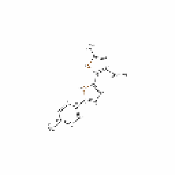 CCCCCCc1cc(C)sc1-c1ccc(-c2ccc(C#N)cc2)s1